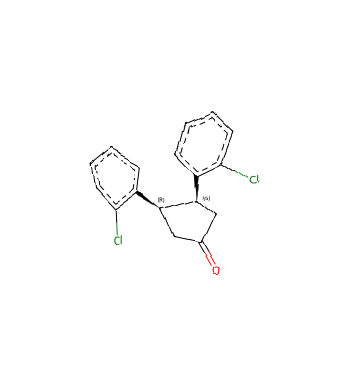 O=C1C[C@H](c2ccccc2Cl)[C@H](c2ccccc2Cl)C1